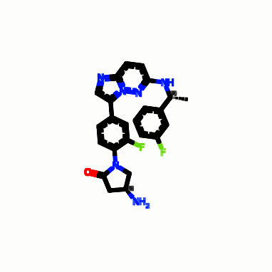 C[C@@H](Nc1ccc2ncc(-c3ccc(N4C[C@@H](N)CC4=O)c(F)c3)n2n1)c1cccc(F)c1